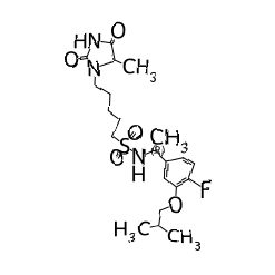 CC(C)COc1cc([C@@H](C)NS(=O)(=O)CCCCCN2C(=O)NC(=O)C2C)ccc1F